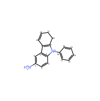 Nc1ccc2c(c1)c1c(n2-c2ccccc2)CCC=C1